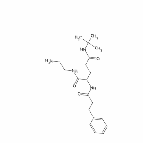 CC(C)(C)NC(=O)CCC(NC(=O)CCc1ccccc1)C(=O)NCCN